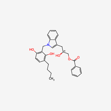 CCCCc1ccc(O)c(Cn2cc(C[C@H](O)COC(=O)c3ccccc3)c3ccccc32)c1O